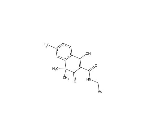 CC(=O)CNC(=O)C1=C(O)c2ccc(C(F)(F)F)cc2C(C)(C)C1=O